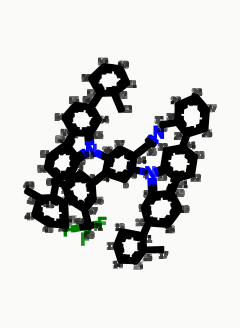 Cc1cc(-c2cc(-n3c4cc(-c5ccccc5C)ccc4c4ccc(-c5ccccc5C)cc43)c(C#N)cc2-n2c3cc(-c4ccccc4C)ccc3c3ccc(-c4ccccc4C)cc32)cc(C(F)(F)F)c1